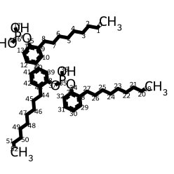 CCCCCCCCCc1ccccc1OP(O)O.CCCCCCCCCc1ccccc1OP(O)Oc1ccccc1CCCCCCCCC